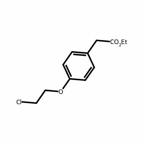 CCOC(=O)Cc1ccc(OCCCl)cc1